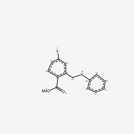 COC(=O)c1ccc(F)cc1CSc1ccccc1